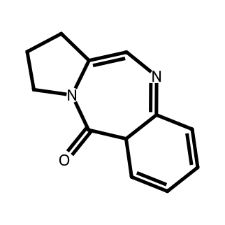 O=C1C2C=CC=CC2=NC=C2CCCN12